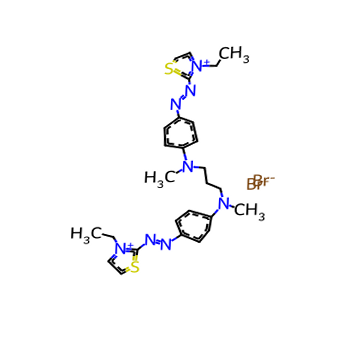 CC[n+]1ccsc1N=Nc1ccc(N(C)CCCN(C)c2ccc(N=Nc3scc[n+]3CC)cc2)cc1.[Br-].[Br-]